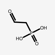 O=CCP(=O)(O)O